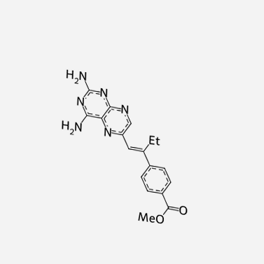 CC/C(=C\c1cnc2nc(N)nc(N)c2n1)c1ccc(C(=O)OC)cc1